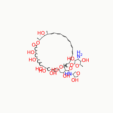 C[C@@H]1OC(=O)CC(O)CC(O)CCC(O)C(O)CC(O)CC2(O)C[C@H](O)C(C(=O)NC3COC[C@@H]3O)[C@H](CC(O[C@@H]3O[C@H](C)C(O)[C@H](N)C3O)/C=C/C=C/C=C/C=C/C=C/C=C/C=C/[C@H](C)C(O)[C@H]1C)O2